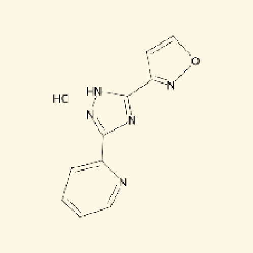 Cl.c1ccc(-c2n[nH]c(-c3ccon3)n2)nc1